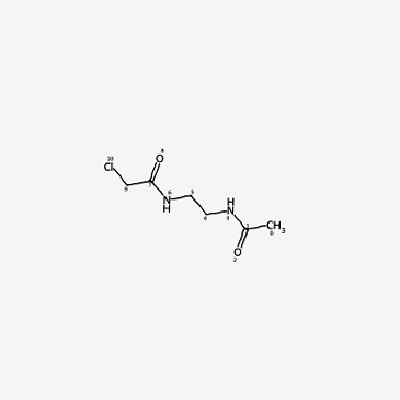 CC(=O)NCCNC(=O)CCl